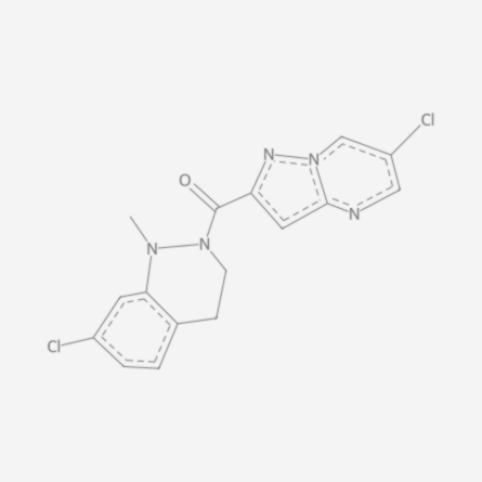 CN1c2cc(Cl)ccc2CCN1C(=O)c1cc2ncc(Cl)cn2n1